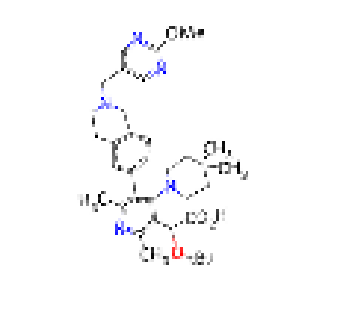 COc1ncc(CN2CCc3cc(-c4c(C)nc(C)c(C(OC(C)(C)C)C(=O)O)c4N4CCC(C)(C)CC4)ccc3C2)cn1